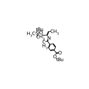 C/C=C(CO[Si](C)(C)C(C)(C)C)\N=C(/C)c1ccc(C(=O)OC(C)(C)C)cc1